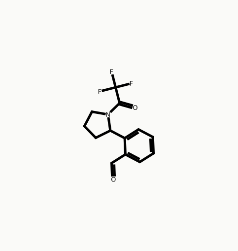 O=Cc1ccccc1C1CCCN1C(=O)C(F)(F)F